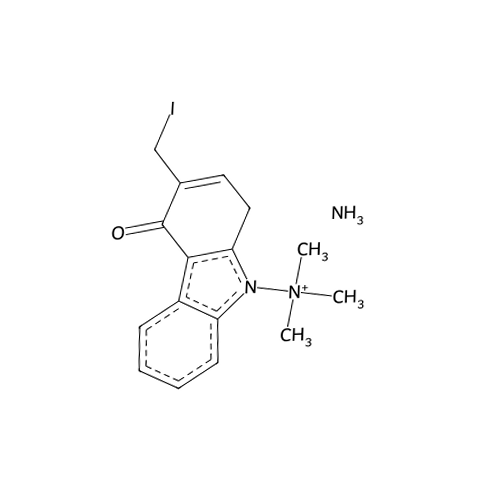 C[N+](C)(C)n1c2c(c3ccccc31)C(=O)C(CI)=CC2.N